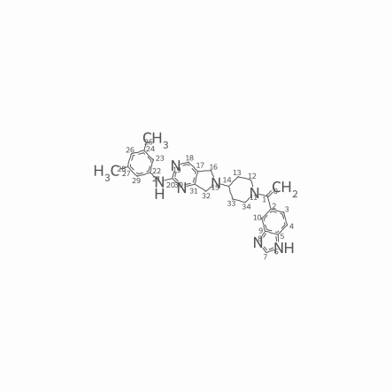 C=C(c1ccc2[nH]cnc2c1)N1CCC(N2Cc3cnc(Nc4cc(C)cc(C)c4)nc3C2)CC1